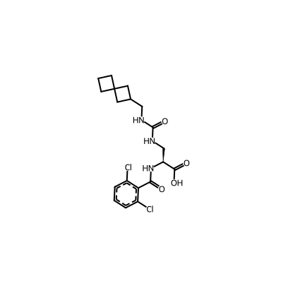 O=C(NCC1CC2(CCC2)C1)NC[C@H](NC(=O)c1c(Cl)cccc1Cl)C(=O)O